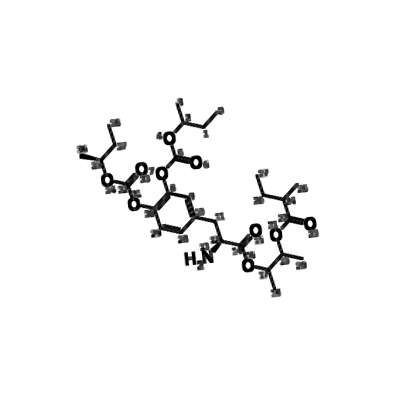 CCC(C)OC(=O)Oc1cc(C[C@H](N)C(=O)OC(C)C(C)OC(=O)C(C)CC)ccc1OC(=O)O[C@@H](C)CC